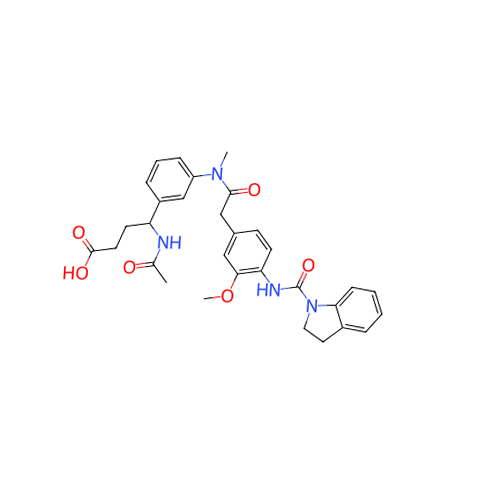 COc1cc(CC(=O)N(C)c2cccc(C(CCC(=O)O)NC(C)=O)c2)ccc1NC(=O)N1CCc2ccccc21